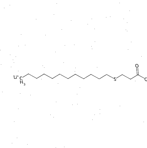 CCCCCCCCCCCCSCCC(=O)[O-].[Li+]